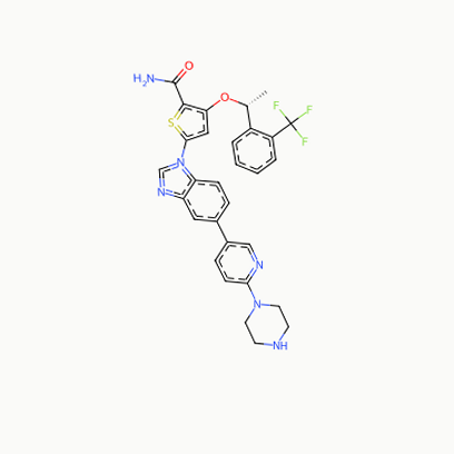 C[C@@H](Oc1cc(-n2cnc3cc(-c4ccc(N5CCNCC5)nc4)ccc32)sc1C(N)=O)c1ccccc1C(F)(F)F